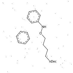 CCCCCCCCCCCCCCONc1ccccc1.c1ccccc1